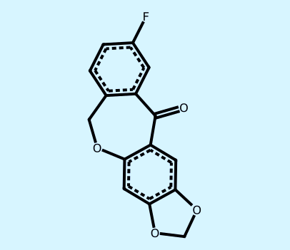 O=C1c2cc(F)ccc2COc2cc3c(cc21)OCO3